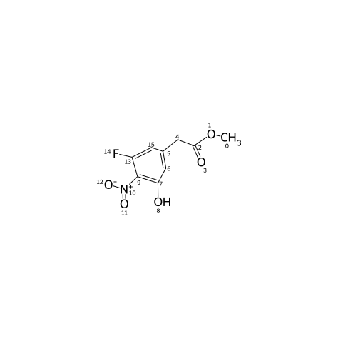 COC(=O)Cc1cc(O)c([N+](=O)[O-])c(F)c1